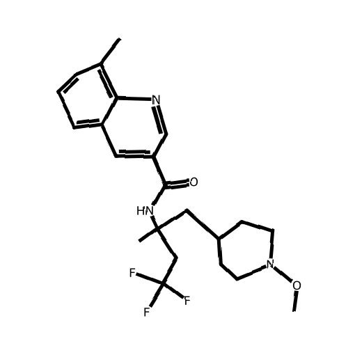 CON1CCC(CC(C)(CC(F)(F)F)NC(=O)c2cnc3c(C)cccc3c2)CC1